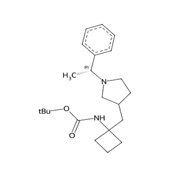 C[C@H](c1ccccc1)N1CCC(CC2(NC(=O)OC(C)(C)C)CCC2)C1